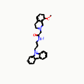 COc1cccc2c1CN(CC(=O)NCCCn1c3ccccc3c3ccccc31)CC2